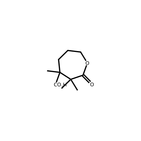 CC1(C)C(=O)OCCCC1(C)C(=O)O